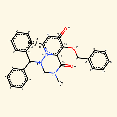 CC(C)N1CN(C(c2ccccc2)c2ccccc2)n2c(C(=O)O)cc(=O)c(OCc3ccccc3)c2C1=O